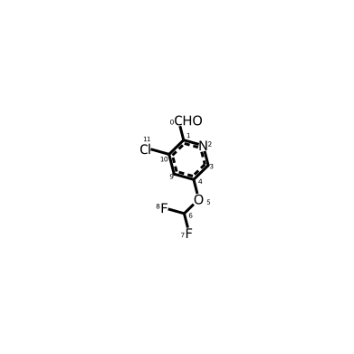 O=Cc1ncc(OC(F)F)cc1Cl